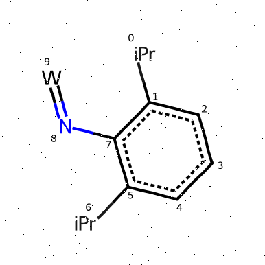 CC(C)c1cccc(C(C)C)c1[N]=[W]